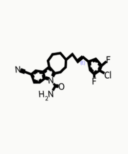 N#Cc1ccc2c(c1)c1c(n2C(N)=O)CCC(C/C=C/c2cc(F)c(Cl)c(F)c2)CCC1